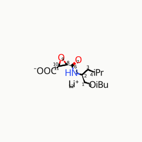 CC(C)COC[C@H](CC(C)C)NC(=O)[C@H]1O[C@@H]1C(=O)[O-].[Li+]